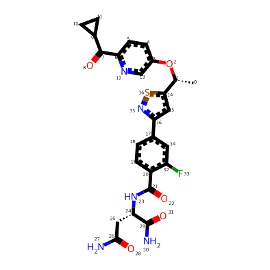 C[C@@H](Oc1ccc(C(=O)C2CC2)nc1)c1cc(-c2ccc(C(=O)N[C@@H](CC(N)=O)C(N)=O)c(F)c2)ns1